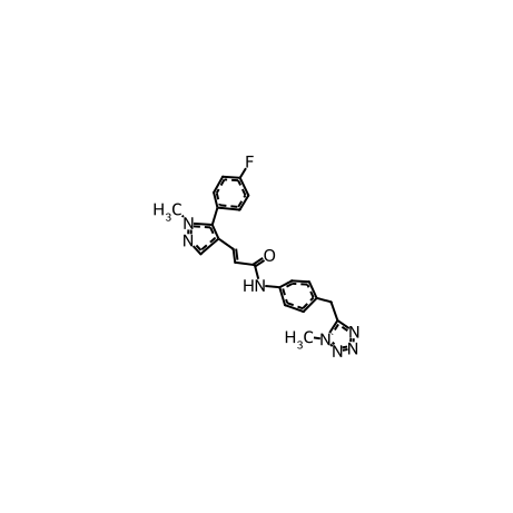 Cn1nnnc1Cc1ccc(NC(=O)C=Cc2cnn(C)c2-c2ccc(F)cc2)cc1